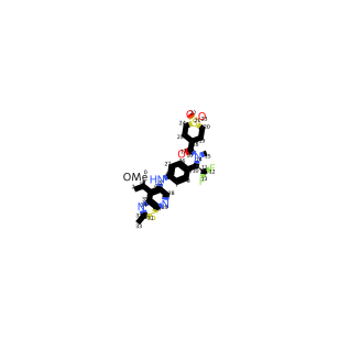 CO[C@H](C)c1c(Nc2ccc([C@@H](C(F)F)N(C)C(=O)C3CCS(=O)(=O)CC3)cc2)cnc2sc(C)nc12